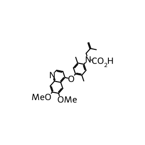 C=C(C)CN(C(=O)O)c1cc(C)c(Oc2ccnc3cc(OC)c(OC)cc23)cc1C